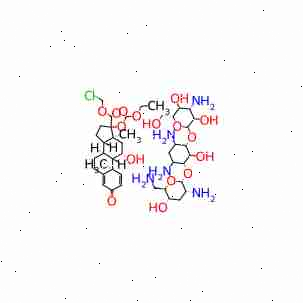 CCOC(=O)O[C@]1(C(=O)OCCl)CC[C@H]2[C@@H]3CCC4=CC(=O)C=C[C@]4(C)[C@H]3[C@@H](O)C[C@@]21C.NC[C@H]1O[C@H](O[C@H]2[C@H](O)[C@@H](O[C@H]3O[C@H](CO)[C@@H](O)[C@H](N)[C@H]3O)[C@H](N)C[C@@H]2N)[C@H](N)C[C@@H]1O